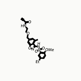 C#CC(=O)NCCOCc1cc(C)c2c(NS(=O)(=O)c3cc(CC)ccc3OC)noc2c1